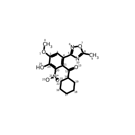 COc1cc(-c2noc(C)n2)c(C(=O)C2CCCCC2)c([N+](=O)[O-])c1O